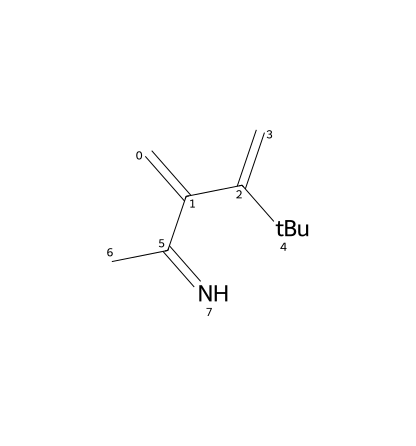 C=C(C(=C)C(C)(C)C)C(C)=N